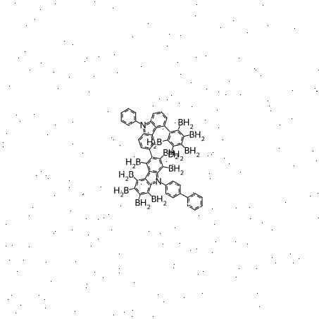 Bc1c(B)c(B)c(-c2cccc3c2c2cc(-c4c(B)c(B)c5c(c4B)c4c(B)c(B)c(B)c(B)c4n5-c4ccc(-c5ccccc5)cc4)ccc2n3-c2ccccc2)c(B)c1B